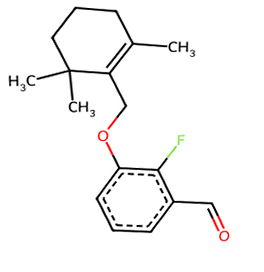 CC1=C(COc2cccc(C=O)c2F)C(C)(C)CCC1